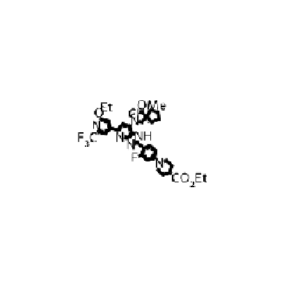 CCOC(=O)C1CCN(c2ccc(-c3nc4nc(-c5cc(OCC)nc(C(F)(F)F)c5)cc(N(C)CC5(COC)CCCC5)c4[nH]3)c(F)c2)CC1